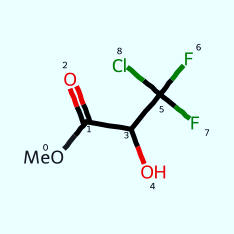 COC(=O)C(O)C(F)(F)Cl